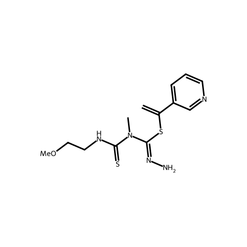 C=C(S/C(=N\N)N(C)C(=S)NCCOC)c1cccnc1